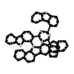 c1ccc2cc3c(cc2c1)c1ccc2ccccc2c1n3-c1c(-c2nc(-c3cccc4ccccc34)nc(-c3cccc4sc5ccccc5c34)n2)ccc2c1oc1ccccc12